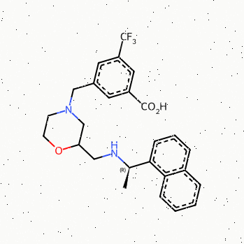 C[C@@H](NCC1CN(Cc2cc(C(=O)O)cc(C(F)(F)F)c2)CCO1)c1cccc2ccccc12